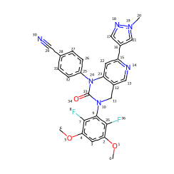 COc1cc(OC)c(F)c(N2Cc3cnc(-c4cnn(C)c4)cc3N(c3ccc(C#N)cc3)C2=O)c1F